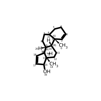 C[C@]12C=CCCC1CC[C@@H]1[C@H]2CC[C@]2(C)C(O)C=C[C@@H]12